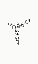 O=C(Nc1cc(C(F)(F)F)ccc1N1CCN(Cc2c[nH]cn2)CC1)c1ccc(-c2ccncc2)o1